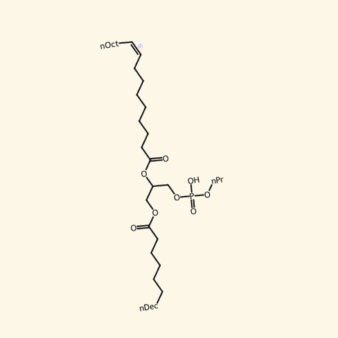 CCCCCCCC/C=C\CCCCCCCC(=O)OC(COC(=O)CCCCCCCCCCCCCCC)COP(=O)(O)OCCC